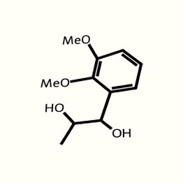 COc1cccc(C(O)C(C)O)c1OC